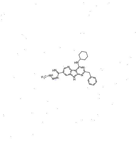 CN/N=N\C(=N)c1cnc2c(c1)[nH]c1nc(Cc3ccccc3)nc(NC3CCCCC3)c12